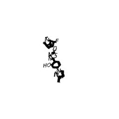 Cc1ccn(-c2ccc(-c3nnc(OC4CC5CN(C)C(C4F)C5(C)F)s3)c(O)c2)n1